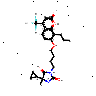 CCCc1c(OCCCCN2C(=O)NC(C)(C3CC3)C2=O)ccc2c(C(F)(F)F)cc(=O)oc12